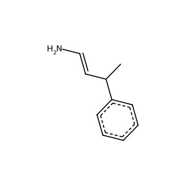 CC(/C=C/N)c1ccccc1